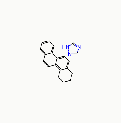 c1ccc2c(c1)ccc1c3c(ccc12)CCCC3.c1nc[nH]n1